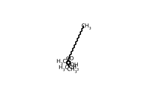 CCCCCCCCCCCCCCCCCCCC(=O)Oc1cc(O)c(C(C)(C)C)cc1C